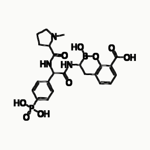 CN1CCCC1C(=O)NC(C(=O)NC1Cc2cccc(C(=O)O)c2OB1O)c1ccc(P(=O)(O)O)cc1